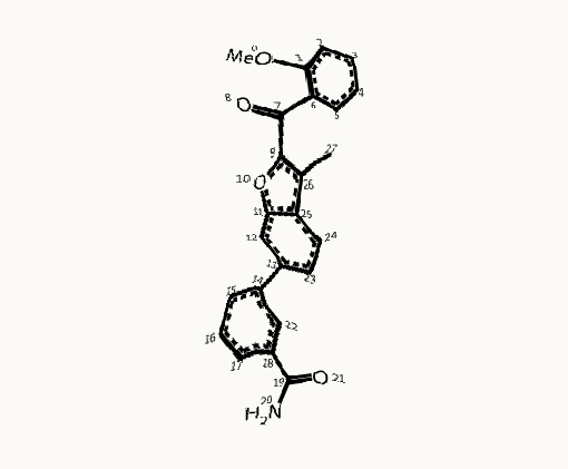 COc1ccccc1C(=O)c1oc2cc(-c3cccc(C(N)=O)c3)ccc2c1C